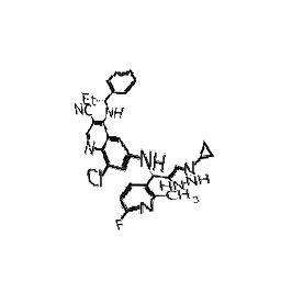 CC[C@@H](Nc1c(C#N)cnc2c(Cl)cc(N[C@H](C3=CN(C4CC4)NN3)c3ccc(F)nc3C)cc12)c1ccccc1